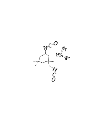 CC(C)NC(C)C.CC1(C)CC(N=C=O)CC(C)(CN=C=O)C1